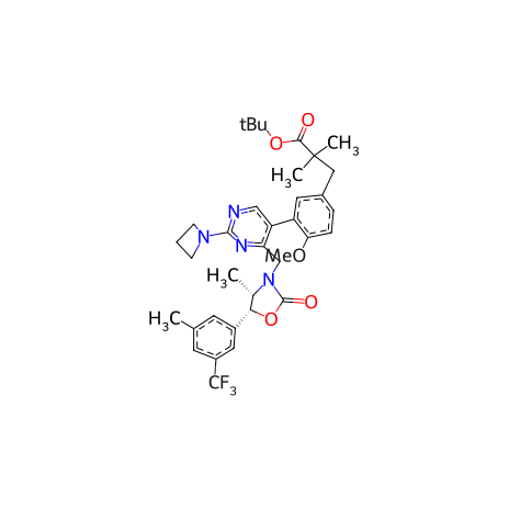 COc1ccc(CC(C)(C)C(=O)OC(C)(C)C)cc1-c1cnc(N2CCC2)nc1CN1C(=O)O[C@H](c2cc(C)cc(C(F)(F)F)c2)[C@@H]1C